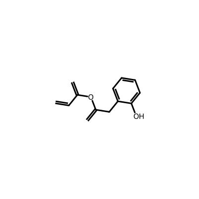 C=CC(=C)OC(=C)Cc1ccccc1O